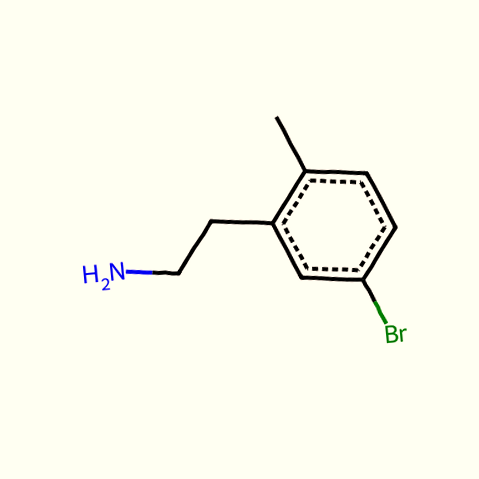 Cc1ccc(Br)cc1CCN